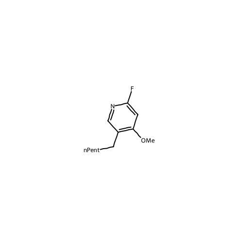 CCCCCCc1cnc(F)cc1OC